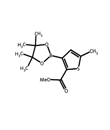 COC(=O)c1sc(C)cc1B1OC(C)(C)C(C)(C)O1